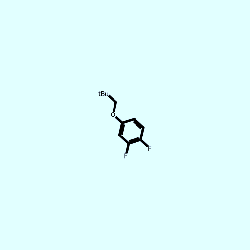 CC(C)(C)COc1ccc(F)c(F)c1